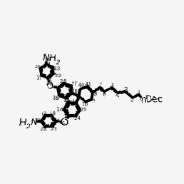 CCCCCCCCCCCCCCCCCC1CCC(c2ccc(Oc3ccc(N)cc3)cc2)(c2ccc(Oc3ccc(N)cc3)cc2)CC1